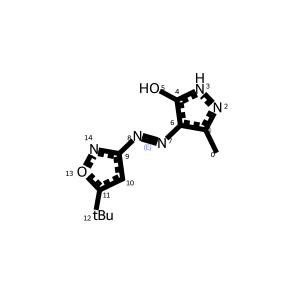 Cc1n[nH]c(O)c1/N=N/c1cc(C(C)(C)C)on1